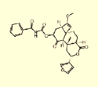 COC1=C[C@@]23CC[C@H]4C(=O)O[C@H](c5ccoc5)C[C@]4(C)[C@H]2C(=O)[C@@H](OC(=O)NC(=O)c2ccccc2)C[C@@H]13